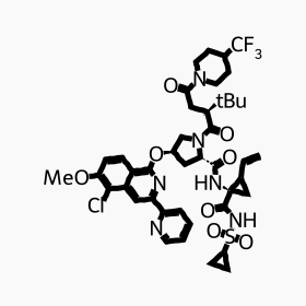 C=CC1C[C@@]1(NC(=O)[C@@H]1C[C@@H](Oc2nc(-c3ccccn3)cc3c(Cl)c(OC)ccc23)CN1C(=O)[C@@H](CC(=O)N1CCC(C(F)(F)F)CC1)C(C)(C)C)C(=O)NS(=O)(=O)C1CC1